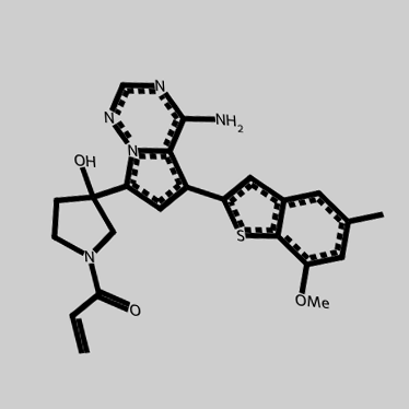 C=CC(=O)N1CCC(O)(c2cc(-c3cc4cc(C)cc(OC)c4s3)c3c(N)ncnn23)C1